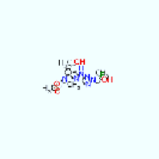 C[C@H](CO)c1ccc(N2C[C@@H](CS(C)(=O)=O)[C@@H]2C)c2cnc(Nc3ccnc(N4CC[C@@H](O)[C@@](C)(F)C4)n3)cc12